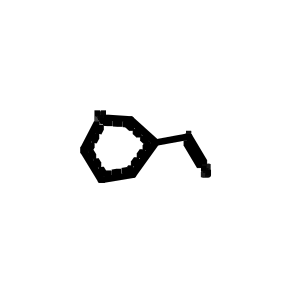 S=[C]c1cccnc1